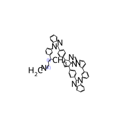 C=N/C=C\C=C(/C)c1cccc(-n2c(-c3ccc(-c4ccc(-c5ccc(-c6nc7ccccc7n6-c6cccc(-c7cccnc7)c6)cc5)c5nccnc45)cc3)nc3ccccc32)c1